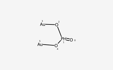 O=[PH]([O][Au])[O][Au]